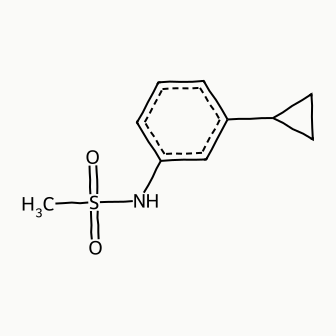 CS(=O)(=O)Nc1cccc(C2CC2)c1